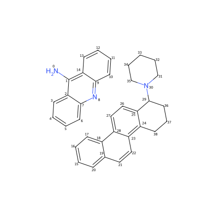 Nc1c2ccccc2nc2ccccc12.c1ccc2c(c1)ccc1c3c(ccc12)C(N1CCCCC1)CCC3